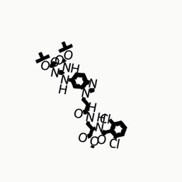 COC(=O)C(CNC(=O)CCn1cnc2ccc(N/C(=N/C(=O)OC(C)(C)C)NC(=O)OC(C)(C)C)cc21)NC(=O)c1c(Cl)cccc1Cl